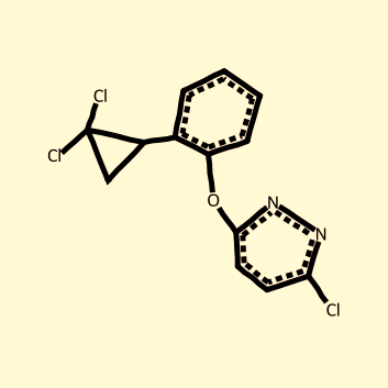 Clc1ccc(Oc2ccccc2C2CC2(Cl)Cl)nn1